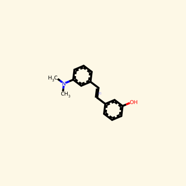 CN(C)c1cccc(/C=C/c2cccc(O)c2)c1